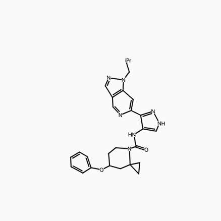 CC(C)Cn1ncc2cnc(-c3n[nH]cc3NC(=O)N3CCC(Oc4ccccc4)CC34CC4)cc21